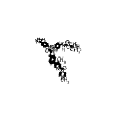 Cc1cc(C(=O)N2CCN(C)CC2)ncc1-c1ccc(C[C@H](NC(=O)[C@H]2CC[C@H](CNC(=O)OC(C)(C)C)CC2)C(=O)Nc2ccc(-c3nnn[nH]3)cc2)cc1